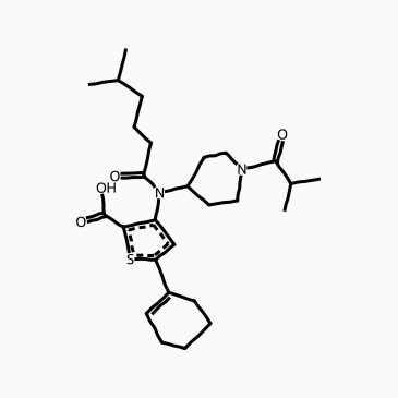 CC(C)CCCC(=O)N(c1cc(C2=CCCCC2)sc1C(=O)O)C1CCN(C(=O)C(C)C)CC1